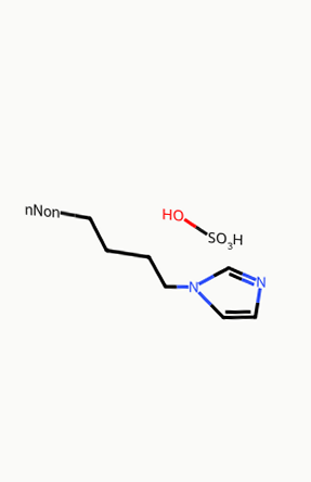 CCCCCCCCCCCCCn1ccnc1.O=S(=O)(O)O